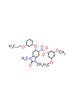 CCCOc1cccc(Oc2cc3c(cc2NS(=O)(=O)c2cc(OC)cc(OC)c2)n(C)c(=O)n3C)c1